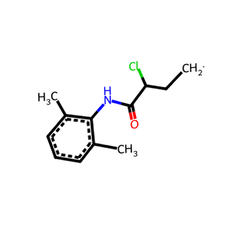 [CH2]CC(Cl)C(=O)Nc1c(C)cccc1C